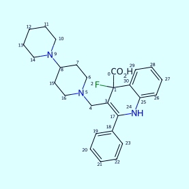 O=C(O)C1(F)C(CN2CCC(N3CCCCC3)CC2)=C(c2ccccc2)Nc2ccccc21